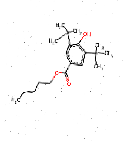 CCCCCOC(=O)c1cc(C(C)(C)C)c(O)c(C(C)(C)C)c1